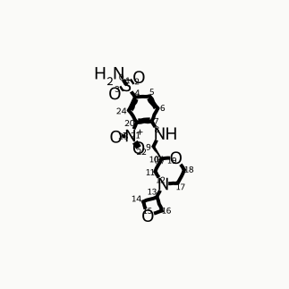 NS(=O)(=O)c1ccc(NC[C@@H]2CN(C3COC3)CCO2)c([N+](=O)[O-])c1